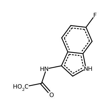 O=C(O)C(=O)Nc1c[nH]c2cc(F)ccc12